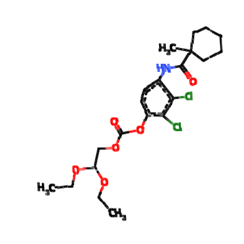 CCOC(COC(=O)Oc1ccc(NC(=O)C2(C)CCCCC2)c(Cl)c1Cl)OCC